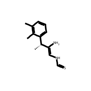 Cc1cccc([C@@H](C)/C(N)=C/NC=S)c1C